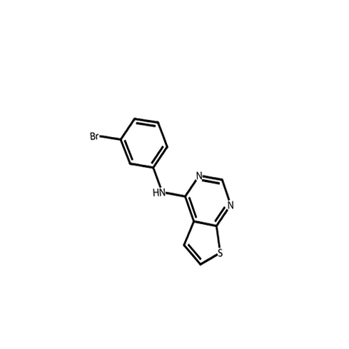 Brc1cccc(Nc2ncnc3sccc23)c1